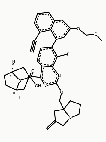 C#Cc1cccc2cc(OCOC)cc(-c3ccc4c(N5C[C@H]6CC[C@@H](C5)N6C(=O)O)nc(OCC56CCCN5CC(=C)C6)nc4c3F)c12